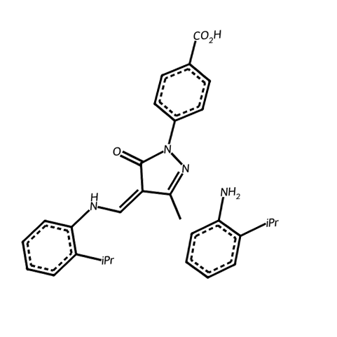 CC(C)c1ccccc1N.CC1=NN(c2ccc(C(=O)O)cc2)C(=O)C1=CNc1ccccc1C(C)C